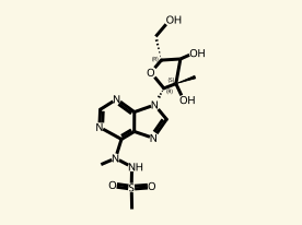 CN(NS(C)(=O)=O)c1ncnc2c1ncn2[C@@H]1O[C@H](CO)C(O)[C@]1(C)O